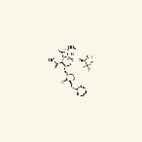 N[C@@H]1C(=O)N2C(C(=O)O)=C(C=C3CCN(Cc4ccccc4)C3=O)CS[C@H]12.O=C(O)C(F)(F)F